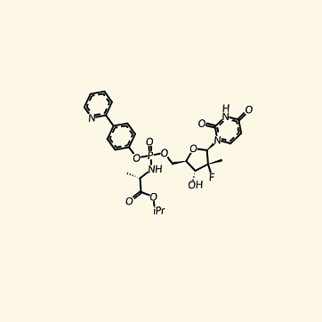 CC(C)OC(=O)[C@H](C)NP(=O)(OC[C@H]1O[C@@H](n2ccc(=O)[nH]c2=O)[C@](C)(F)[C@@H]1O)Oc1ccc(-c2ccccn2)cc1